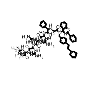 N=C(N)NC(NC(=O)C(NC(=N)N)NC(=O)C(NC(=N)N)NC(=O)C(NC(=N)N)NC(=O)C(NC(=O)C(O)N(Cc1ccc(/C=C/c2ccccc2)cc1)c1nc(-c2ccccc2)nc2ccccc12)c1ccccc1)C(N)=O